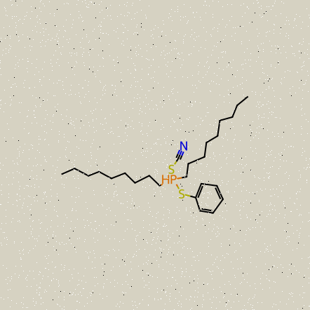 CCCCCCCCC[PH](CCCCCCCCC)(SC#N)Sc1ccccc1